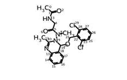 CC(=O)NCC(=O)N(C)N1C(C)=Nc2ccccc2C1OCc1c(Cl)cccc1Cl